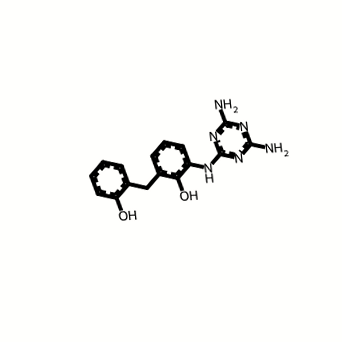 Nc1nc(N)nc(Nc2cccc(Cc3ccccc3O)c2O)n1